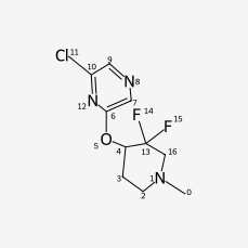 CN1CCC(Oc2cncc(Cl)n2)C(F)(F)C1